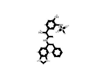 CC(NC(Cc1ccccc1)c1ccc2c(c1)OCO2)C(O)c1ccc(O)c(NS(C)(=O)=O)c1